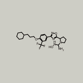 NC(NO)N1CCCC1c1nc(-c2ccc(OCCCC3CCCCC3)c(C(F)(F)F)c2)no1